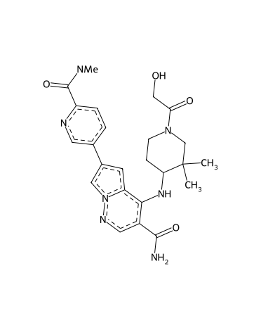 CNC(=O)c1ccc(-c2cc3c(NC4CCN(C(=O)CO)CC4(C)C)c(C(N)=O)cnn3c2)cn1